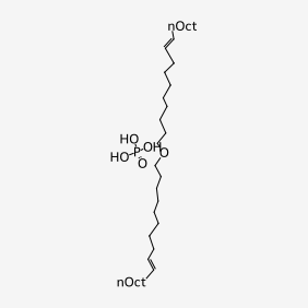 CCCCCCCCC=CCCCCCCCCOCCCCCCCCC=CCCCCCCCC.O=P(O)(O)O